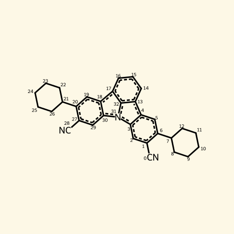 N#Cc1cc2c(cc1C1CCCCC1)c1cccc3c4cc(C5CCCCC5)c(C#N)cc4n2c13